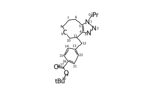 CC(C)n1nnc2c1CCCCCC2Cc1ccc(C(=O)OC(C)(C)C)cc1